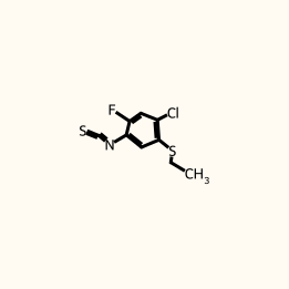 CCSc1cc(N=C=S)c(F)cc1Cl